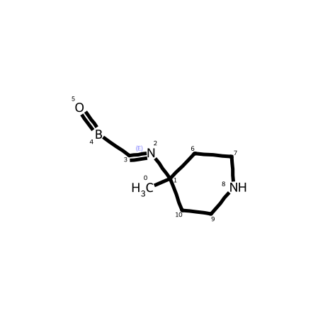 CC1(/N=C/B=O)CCNCC1